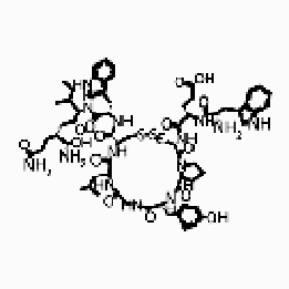 CCC(C)[C@H](NC(=O)[C@H](Cc1c[nH]c2ccccc12)NC(=O)[C@@H]1CSSC[C@H](NC(=O)[C@H](CCC(=O)O)NC(=O)[C@@H](N)Cc2c[nH]c3ccccc23)C(=O)N2CCC[C@H]2C(=O)N[C@@H](Cc2ccc(O)cc2)C(=O)NCC(=O)N[C@@H](CC(C)C)C(=O)N1)C(=O)C[C@@H](CCC(N)=O)[C@@H](N)O